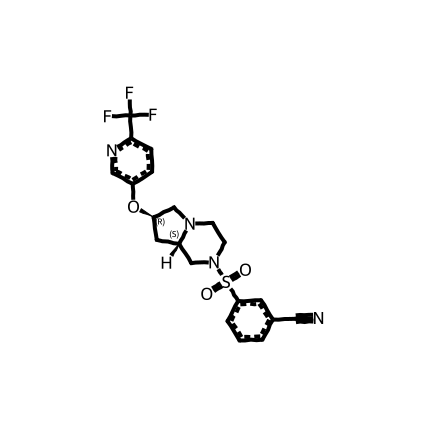 N#Cc1cccc(S(=O)(=O)N2CCN3C[C@H](Oc4ccc(C(F)(F)F)nc4)C[C@H]3C2)c1